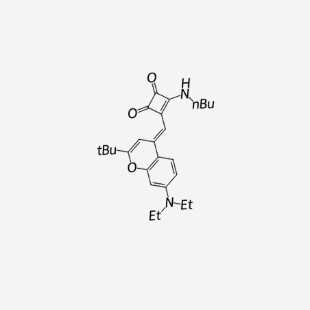 CCCCNc1c(C=C2C=C(C(C)(C)C)Oc3cc(N(CC)CC)ccc32)c(=O)c1=O